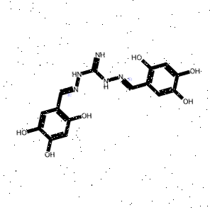 N=C(N/N=C/c1cc(O)c(O)cc1O)N/N=C/c1cc(O)c(O)cc1O